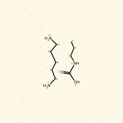 CCCNC(=O)O.NCCCCCN